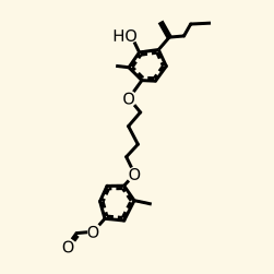 C=C(CCC)c1ccc(OCCCCOc2ccc(OC=O)cc2C)c(C)c1O